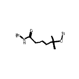 CCOC(C)(C)CCCC(=O)NC(C)C